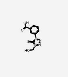 O=C(O)c1cccc(-n2nnn(CO)c2=S)c1